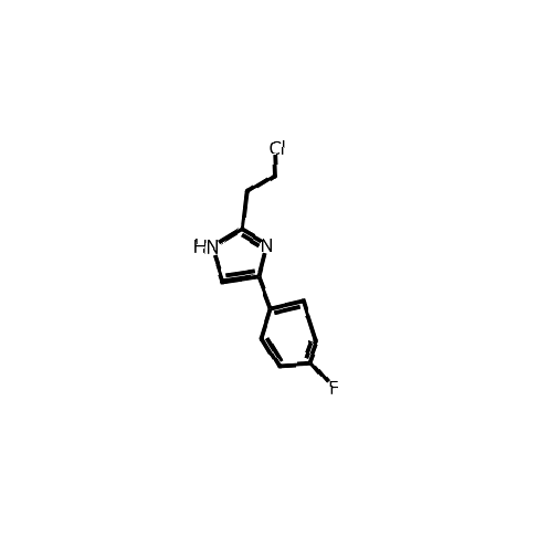 Fc1ccc(-c2c[nH]c(CCCl)n2)cc1